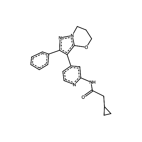 O=C(CC1CC1)Nc1cc(-c2c(-c3ccccc3)nn3c2OCCC3)ccn1